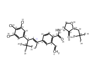 C=Cc1cc(/C(F)=C/C(c2cc(Cl)c(Cl)c(Cl)c2)C(F)(F)F)ccc1C(=O)N[C@@H]1CON(CC(F)(F)F)C1=O